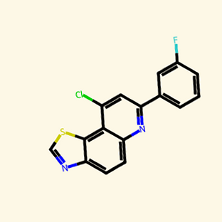 Fc1cccc(-c2cc(Cl)c3c(ccc4ncsc43)n2)c1